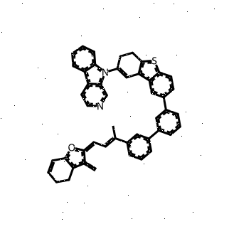 C=c1c2c(o/c1=C/C=C(\C)c1cccc(-c3cccc(-c4ccc5sc6c(c5c4)C=C(n4c5ccccc5c5ccncc54)CC6)c3)c1)C=CCC2